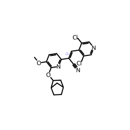 COc1ccc(/C(C#N)=C/c2c(Cl)cncc2Cl)nc1OC1CC2CCC1C2